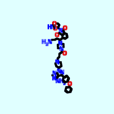 NCCCC(c1cccc2c1C(=O)N(C1CCONO1)C2=O)N1CCN(C(=O)CCCN2CCC(n3nc(-c4ccc(Oc5ccccc5)cc4)c4c(N)ncnc43)CC2)CC1